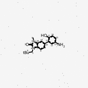 Cn1c(=O)n(CC(C)(C)C)c2ccc(-c3cc(N)ccc3O)cc21